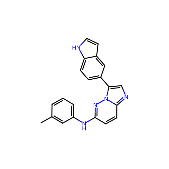 Cc1cccc(Nc2ccc3ncc(-c4ccc5[nH]ccc5c4)n3n2)c1